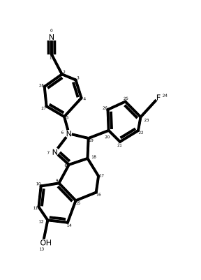 N#Cc1ccc(N2N=C3c4ccc(O)cc4CCC3C2c2ccc(F)cc2)cc1